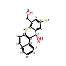 OCc1cc(F)ccc1Sc1ccc2ccccc2c1CO